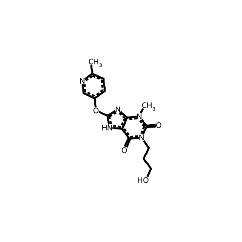 Cc1ccc(Oc2nc3c([nH]2)c(=O)n(CCCO)c(=O)n3C)cn1